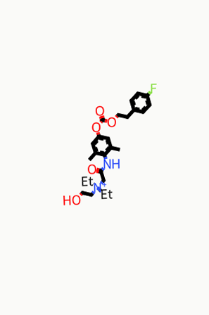 CC[N+](CC)(CCO)CC(=O)Nc1c(C)cc(OC(=O)OCCc2ccc(F)cc2)cc1C